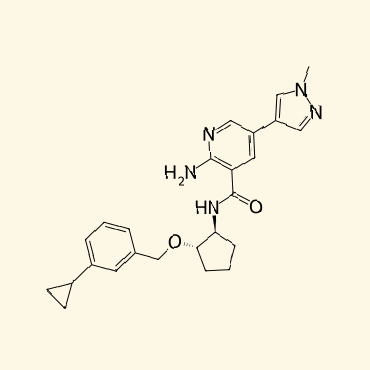 Cn1cc(-c2cnc(N)c(C(=O)N[C@H]3CCC[C@@H]3OCc3cccc(C4CC4)c3)c2)cn1